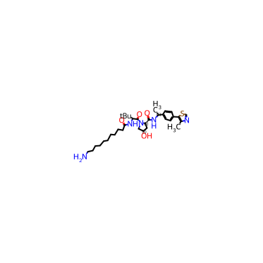 Cc1ncsc1-c1ccc([C@H](C)NC(=O)[C@H]2C[C@H](O)CN2C(=O)C(NC(=O)CCCCCCCCCCN)C(C)(C)C)cc1